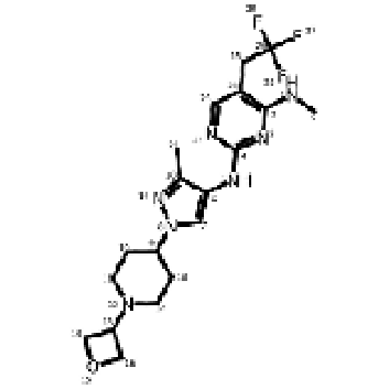 CNc1nc(Nc2cn(C3CCN(C4COC4)CC3)nc2C)ncc1CC(F)(F)F